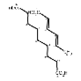 C/C=C/C=C/C(=O)O.CCCCCCCCCCCCCCCCCC(=O)O